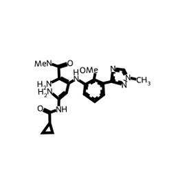 CNC(=O)/C(N)=C(/C=C(\N)NC(=O)C1CC1)Nc1cccc(-c2ncn(C)n2)c1OC